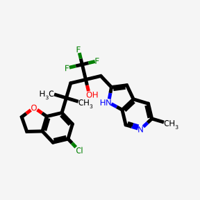 Cc1cc2cc(CC(O)(CC(C)(C)c3cc(Cl)cc4c3OCC4)C(F)(F)F)[nH]c2cn1